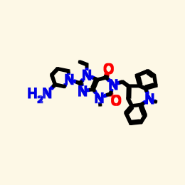 CCn1c(N2CCCC(N)C2)nc2c1c(=O)n(CC1=Cc3ccccc3N(C)c3ccccc31)c(=O)n2C